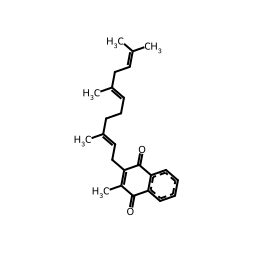 CC(C)=CC/C(C)=C/CC/C(C)=C/CC1=C(C)C(=O)c2ccccc2C1=O